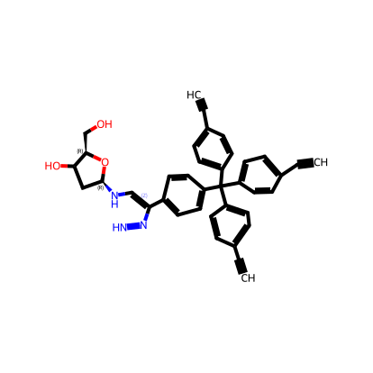 C#Cc1ccc(C(c2ccc(C#C)cc2)(c2ccc(C#C)cc2)c2ccc(/C(=C/N[C@H]3CC(O)[C@@H](CO)O3)N=N)cc2)cc1